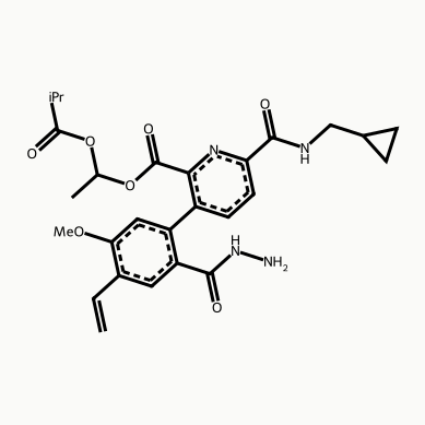 C=Cc1cc(C(=O)NN)c(-c2ccc(C(=O)NCC3CC3)nc2C(=O)OC(C)OC(=O)C(C)C)cc1OC